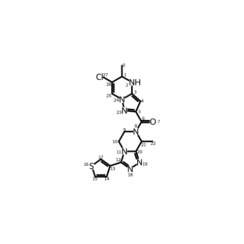 CC1Nc2cc(C(=O)N3CCn4c(-c5ccsc5)nnc4C3C)nn2C=C1Cl